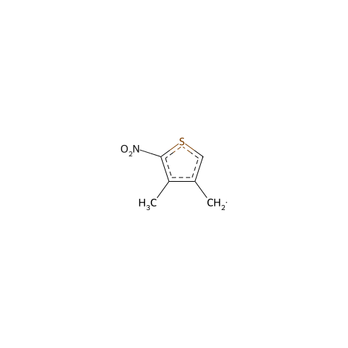 [CH2]c1csc([N+](=O)[O-])c1C